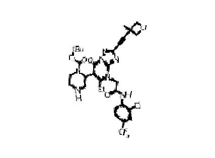 CCc1c(C2CNCCN2C(=O)OC(C)(C)C)c(=O)n2nc(C#CC3(C)COC3)nc2n1CC(=O)Nc1ccc(C(F)(F)F)cc1Cl